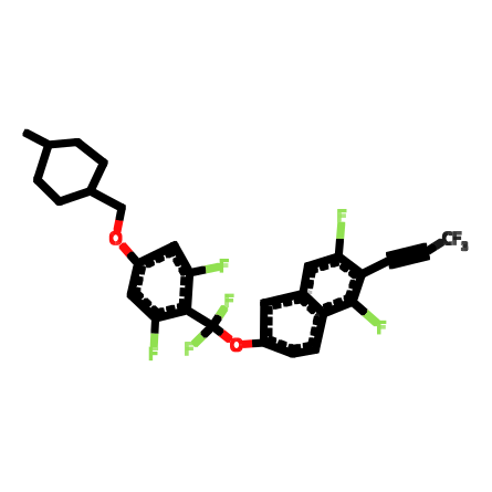 CC1CCC(COc2cc(F)c(C(F)(F)Oc3ccc4c(F)c(C#CC(F)(F)F)c(F)cc4c3)c(F)c2)CC1